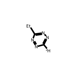 [2H]c1nnc(CC)nn1